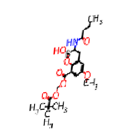 CCCC(=O)NC1Cc2cc(OC)cc(C(=O)OCOC(=O)C(C)(C)C)c2OB1O